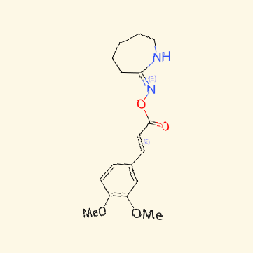 COc1ccc(/C=C/C(=O)O/N=C2\CCCCCN2)cc1OC